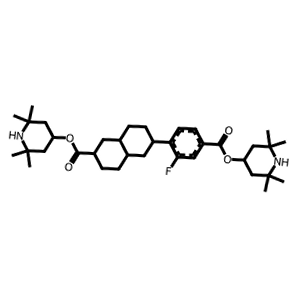 CC1(C)CC(OC(=O)c2ccc(C3CCC4CC(C(=O)OC5CC(C)(C)NC(C)(C)C5)CCC4C3)c(F)c2)CC(C)(C)N1